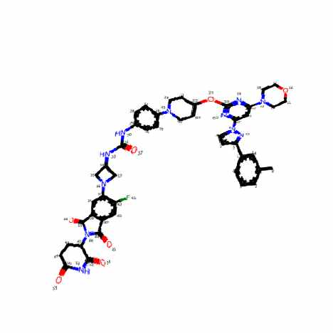 Cc1cccc(-c2ccn(-c3cc(N4CCOCC4)nc(OC4CCN(c5ccc(NC(=O)NC6CN(c7cc8c(cc7F)C(=O)N(C7CCC(=O)NC7=O)C8=O)C6)cc5)CC4)n3)n2)c1